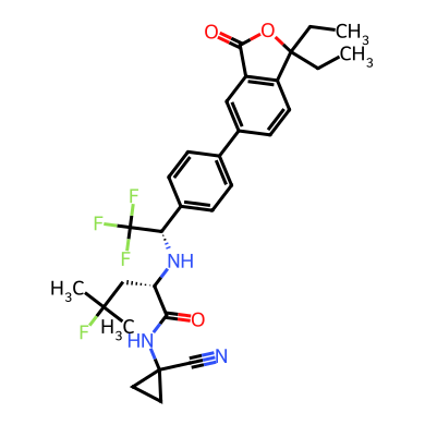 CCC1(CC)OC(=O)c2cc(-c3ccc([C@H](N[C@@H](CC(C)(C)F)C(=O)NC4(C#N)CC4)C(F)(F)F)cc3)ccc21